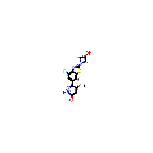 CC1CC(=O)NN=C1c1cc(F)c2nc(N3CC(O)C3)sc2c1